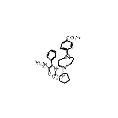 NC(=O)[C@@H](NC(=O)[C@@H]1CCCC[C@H]1N1CCN(c2ccc(C(=O)O)cc2)CC1)c1ccccc1